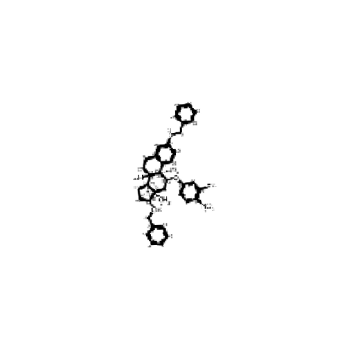 C[C@]12C[C@H](Oc3ccc([N+](=O)[O-])c(F)c3)[C@@H]3c4ccc(OCc5ccccc5)cc4CC[C@H]3[C@@H]1CC[C@@H]2OCc1ccccc1